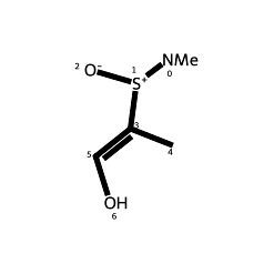 CN[S+]([O-])/C(C)=C/O